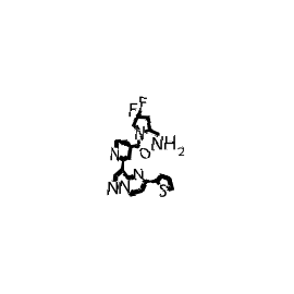 NCC1CC(F)(F)CN1C(=O)c1ccnc(-c2cnn3ccc(-c4cccs4)nc23)c1